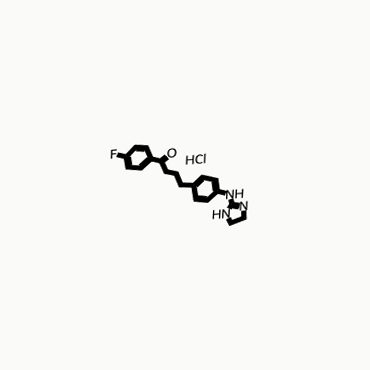 Cl.O=C(CCCc1ccc(NC2=NCCN2)cc1)c1ccc(F)cc1